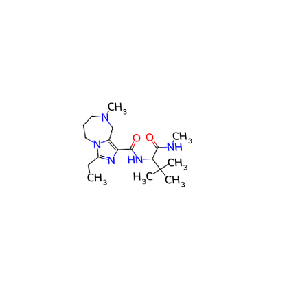 CCc1nc(C(=O)NC(C(=O)NC)C(C)(C)C)c2n1CCCN(C)C2